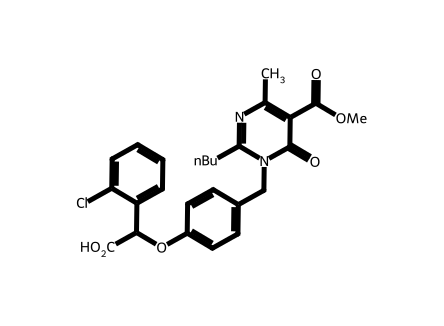 CCCCc1nc(C)c(C(=O)OC)c(=O)n1Cc1ccc(OC(C(=O)O)c2ccccc2Cl)cc1